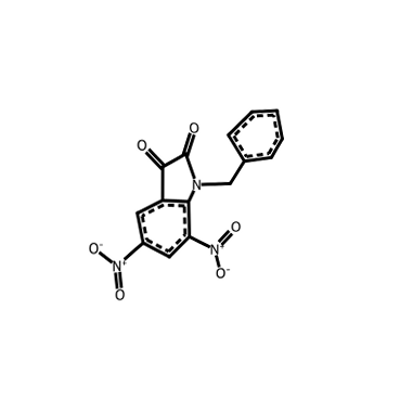 O=C1C(=O)N(Cc2ccccc2)c2c1cc([N+](=O)[O-])cc2[N+](=O)[O-]